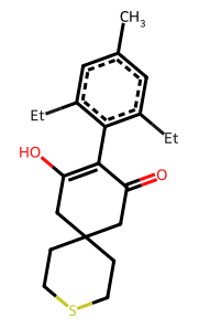 CCc1cc(C)cc(CC)c1C1=C(O)CC2(CCSCC2)CC1=O